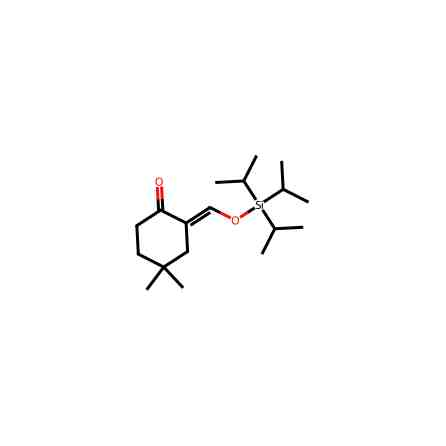 CC(C)[Si](OC=C1CC(C)(C)CCC1=O)(C(C)C)C(C)C